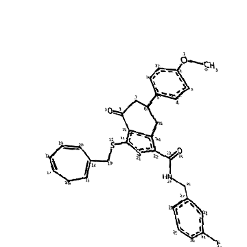 COc1ccc(C2CC(=O)c3c(SCC4=CCC=CC=C4)sc(C(=O)NCc4cccc(F)c4)c3C2)cc1